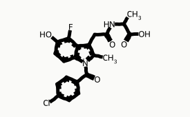 Cc1c(CC(=O)NC(C)C(=O)O)c2c(F)c(O)ccc2n1C(=O)c1ccc(Cl)cc1